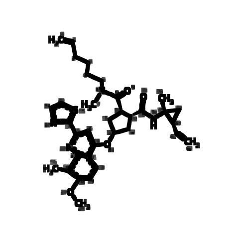 C=CCCCCN(C)C(=O)[C@@H]1C[C@H](Oc2cc(-c3nccs3)nc3c(C)c(OC)ccc23)C[C@H]1C(=O)N[C@]1(C)C[C@H]1C=C